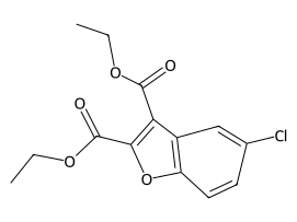 CCOC(=O)c1oc2ccc(Cl)cc2c1C(=O)OCC